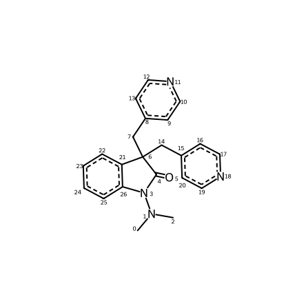 CN(C)N1C(=O)C(Cc2ccncc2)(Cc2ccncc2)c2ccccc21